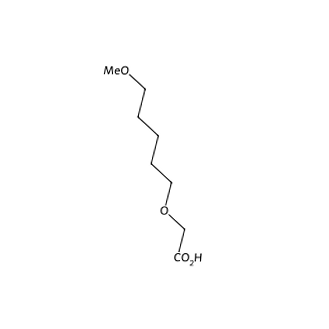 COCCCCCOCC(=O)O